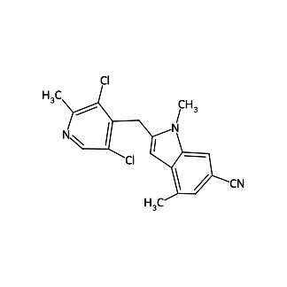 Cc1ncc(Cl)c(Cc2cc3c(C)cc(C#N)cc3n2C)c1Cl